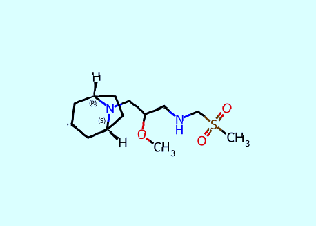 COC(CNCS(C)(=O)=O)CN1[C@@H]2C[CH]C[C@H]1CC2